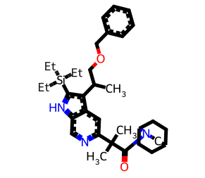 CC[Si](CC)(CC)c1[nH]c2cnc(C(C)(C)C(=O)N3CC4CCC3CC4)cc2c1C(C)COCc1ccccc1